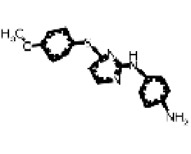 COc1ccc(Sc2ccnc(Nc3ccc(N)cc3)n2)cc1